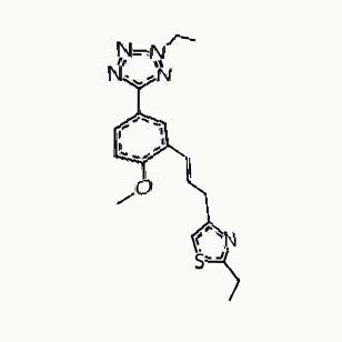 CCc1nc(C/C=C/c2cc(-c3nnn(CC)n3)ccc2OC)cs1